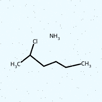 CCCCC(C)Cl.N